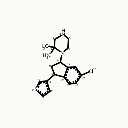 CC1(C)CNCCN1C1CC(c2ccsc2)c2ccc(Cl)cc21